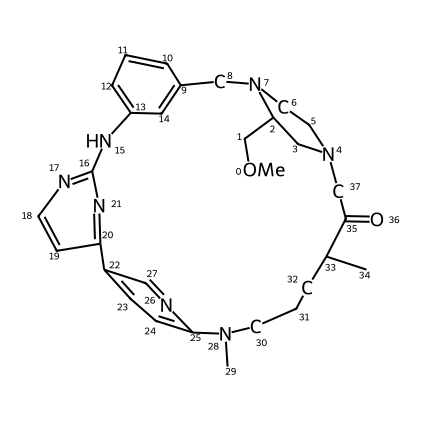 COCC1CN2CCN1Cc1cccc(c1)Nc1nccc(n1)-c1ccc(nc1)N(C)CCCC(C)C(=O)C2